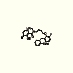 CSc1ccccc1Cc1cccc(F)c1OC/C=C\CN1CNn2ccc(=O)c(O)c2C1=O